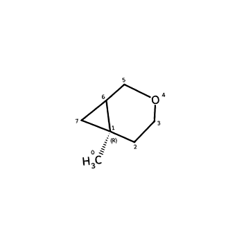 C[C@@]12CCOCC1C2